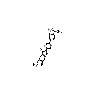 CN(C)c1ccc(-c2cnc(-n3cnn(CC(CN)=C(F)F)c3=O)cn2)cn1